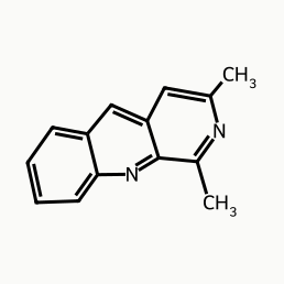 Cc1cc2cc3ccccc3nc2c(C)n1